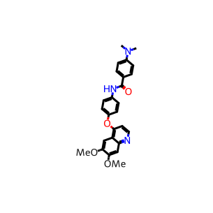 COc1cc2nccc(Oc3ccc(NC(=O)c4ccc(N(C)C)cc4)cc3)c2cc1OC